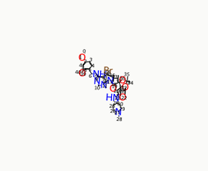 COc1ccc(CNc2ncnc3c2c(Br)cn3[C@@H]2O[C@H](C(=O)NC3CCN(C)CC3)[C@H]3OC(C)(C)O[C@H]32)c(OC)c1